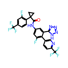 O=C(Nc1cc(F)c(-c2ccc(C(F)(F)F)nc2)c(-c2nnn[nH]2)c1)C1(c2ccc(C(F)(F)F)cc2F)CC1